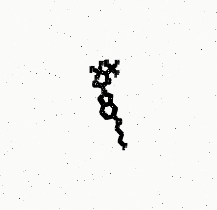 O=C(OC(C(F)(F)F)C(F)(F)F)n1cc2ccc(OCCCF)cc2c1